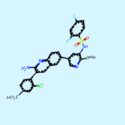 COc1ncc(-c2ccc3nc(N)c(-c4ccc(C(=O)O)cc4Cl)cc3c2)cc1NS(=O)(=O)c1ccc(F)cc1F